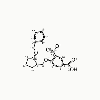 O=C(O)c1ccc(OCC2CCCN2OCc2ccccc2)c([N+](=O)[O-])c1